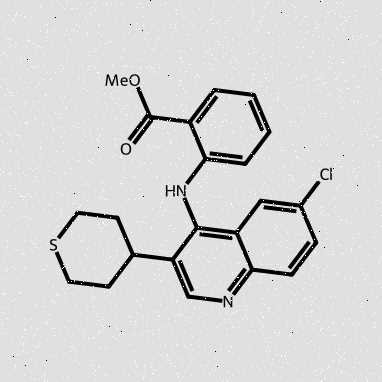 COC(=O)c1ccccc1Nc1c(C2CCSCC2)cnc2ccc(Cl)cc12